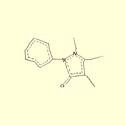 Cc1c(C)n(C)n(-c2ccccc2)c1=O